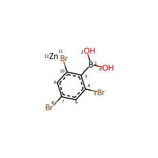 OB(O)c1c(Br)cc(Br)cc1Br.[Zn]